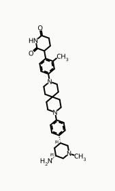 Cc1cc(N2CCC3(CCN(c4ccc([C@H]5C[C@@H](N)CN(C)C5)cc4)CC3)CC2)ccc1C1CCC(=O)NC1=O